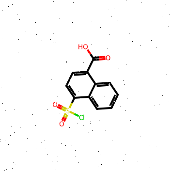 O=C(O)c1ccc(S(=O)(=O)Cl)c2ccccc12